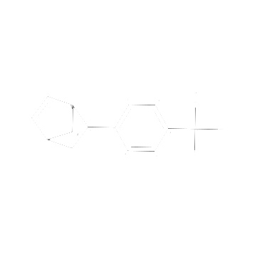 FC(F)(F)c1ccc(C2CC3C=CC2C3)cc1